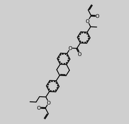 C=CC(=O)OC(C)c1ccc(C(=O)Oc2ccc3c(c2)CC=C(c2ccc(C(CCC)OC(=O)C=C)cc2)C3)cc1